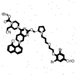 CC(C)(C)OC(=O)N1CCN(c2nc(OC[C@@H]3CCCN3CCCOCCOc3c(Br)cc(C=O)cc3Br)nc3c2CCN(c2cccc4cccc(Cl)c24)C3)CC1CC#N